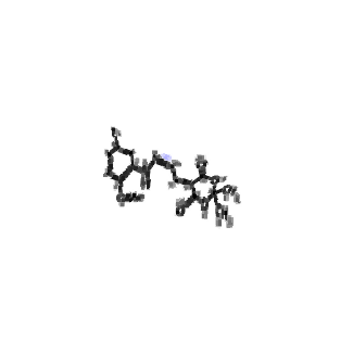 COc1ccc(F)cc1N/N=C\C=C1C(=O)OC(C)(C)OC1=O